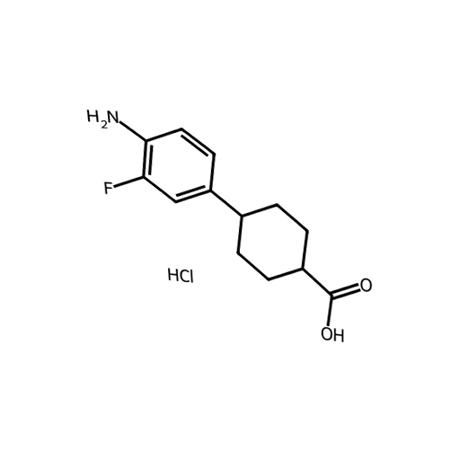 Cl.Nc1ccc(C2CCC(C(=O)O)CC2)cc1F